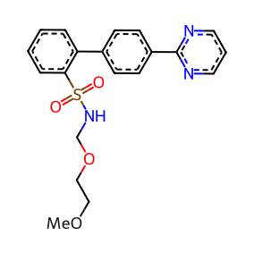 COCCOCNS(=O)(=O)c1ccccc1-c1ccc(-c2ncccn2)cc1